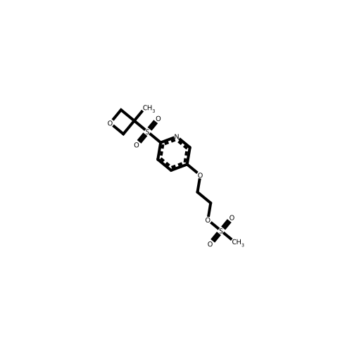 CC1(S(=O)(=O)c2ccc(OCCOS(C)(=O)=O)cn2)COC1